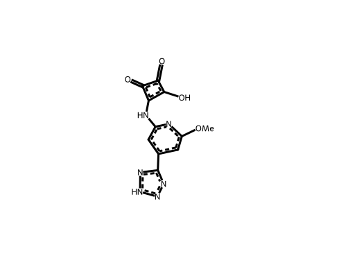 COc1cc(-c2nn[nH]n2)cc(Nc2c(O)c(=O)c2=O)n1